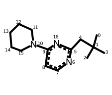 CC(C)(C)Cc1nccc(N2CCCCC2)n1